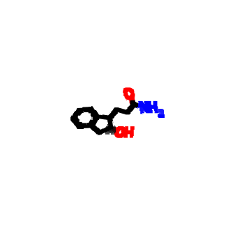 NC(=O)CCC1c2ccccc2C[C@H]1O